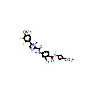 CCc1cc(NC(=O)c2ncc(-c3ccc(OC)c(F)c3F)n2C)ccc1C(=O)NC1CC(C(=O)O)C1